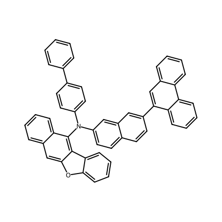 c1ccc(-c2ccc(N(c3ccc4ccc(-c5cc6ccccc6c6ccccc56)cc4c3)c3c4ccccc4cc4oc5ccccc5c34)cc2)cc1